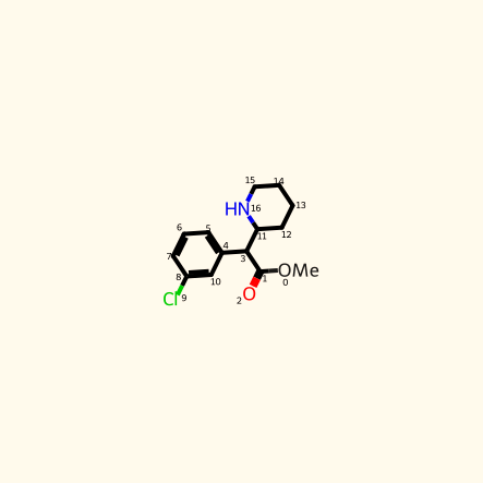 COC(=O)C(c1cccc(Cl)c1)C1CCCCN1